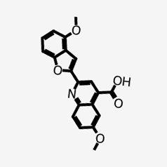 COc1ccc2nc(-c3cc4c(OC)cccc4o3)cc(C(=O)O)c2c1